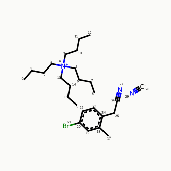 CCCC[N+](CCCC)(CCCC)CCCC.Cc1cc(Br)ccc1CC#N.[C-]#N